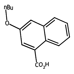 CCCCOc1cc(C(=O)O)c2ccccc2c1